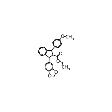 CCOC(=O)C1C(c2ccc(OC)cc2)c2ccccc2C1c1ccc2c(c1)OCO2